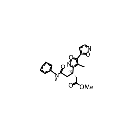 COC(=O)C[C@H](CC(=O)N(C)c1ccccc1)c1noc(-c2ccno2)c1C